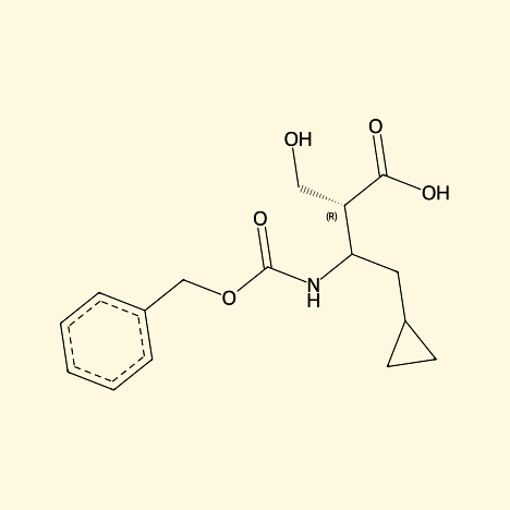 O=C(NC(CC1CC1)[C@H](CO)C(=O)O)OCc1ccccc1